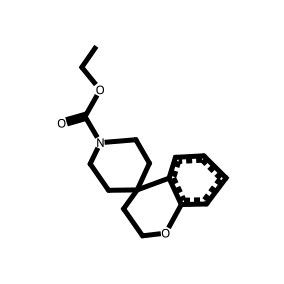 CCOC(=O)N1CCC2(CCOc3ccccc32)CC1